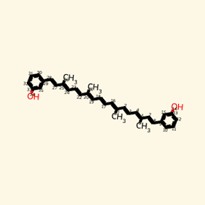 CC(/C=C/C=C(C)/C=C/c1cccc(O)c1)=C\C=C\C=C(C)\C=C\C=C(C)\C=C\c1cccc(O)c1